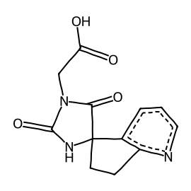 O=C(O)CN1C(=O)NC2(CCc3ncccc32)C1=O